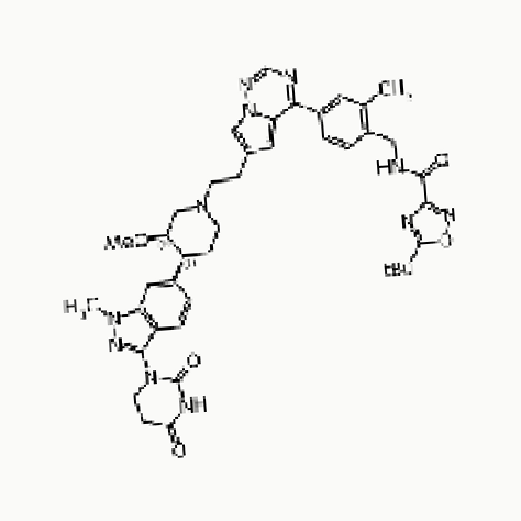 CO[C@H]1CN(CCc2cc3c(-c4ccc(CNC(=O)c5noc(C(C)(C)C)n5)c(C)c4)ncnn3c2)CC[C@H]1c1ccc2c(N3CCC(=O)NC3=O)nn(C)c2c1